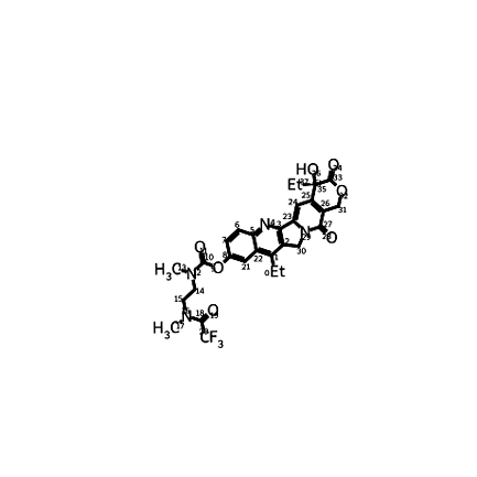 CCc1c2c(nc3ccc(OC(=O)N(C)CCN(C)C(=O)C(F)(F)F)cc13)-c1cc3c(c(=O)n1C2)COC(=O)[C@]3(O)CC